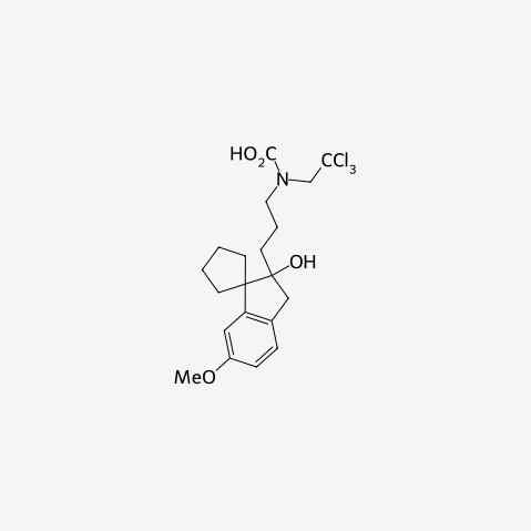 COc1ccc2c(c1)C1(CCCC1)C(O)(CCCN(CC(Cl)(Cl)Cl)C(=O)O)C2